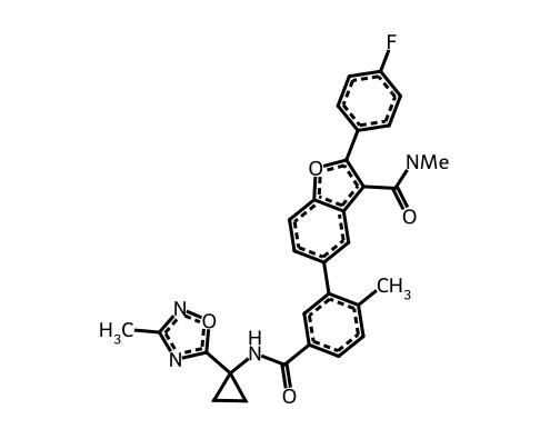 CNC(=O)c1c(-c2ccc(F)cc2)oc2ccc(-c3cc(C(=O)NC4(c5nc(C)no5)CC4)ccc3C)cc12